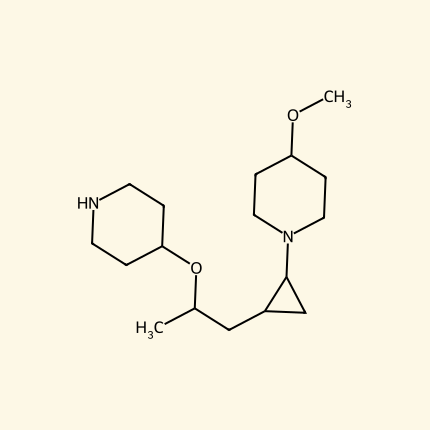 COC1CCN(C2CC2CC(C)OC2CCNCC2)CC1